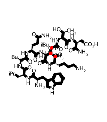 CC[C@H](C)[C@H](NC(=O)[C@H](CC(C)C)NC(=O)[C@@H](N)Cc1c[nH]c2ccccc12)C(=O)N[C@@H](CCC(N)=O)C(=O)N[C@H](C(=O)N[C@@H](CCCCN)C(=O)N[C@H](C(=O)N[C@H](C(=O)N[C@@H](CC(=O)O)C(N)=O)[C@@H](C)O)[C@@H](C)CC)[C@@H](C)O